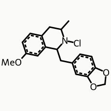 COc1ccc2c(c1)C(Cc1ccc3c(c1)OCO3)N(Cl)C(C)C2